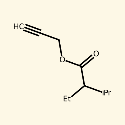 C#CCOC(=O)C(CC)C(C)C